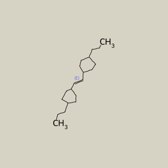 CCCC1CCC(/C=C/C2CCC(CCC)CC2)CC1